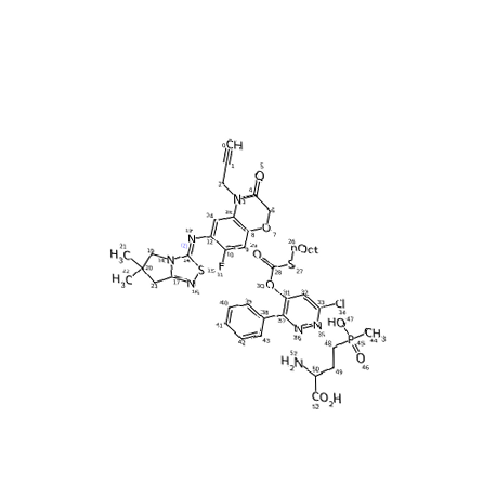 C#CCN1C(=O)COc2cc(F)c(/N=c3\snc4n3CC(C)(C)C4)cc21.CCCCCCCCSC(=O)Oc1cc(Cl)nnc1-c1ccccc1.CP(=O)(O)CCC(N)C(=O)O